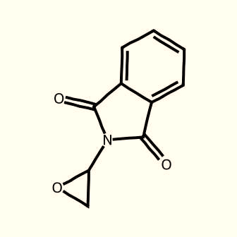 O=C1c2ccccc2C(=O)N1C1CO1